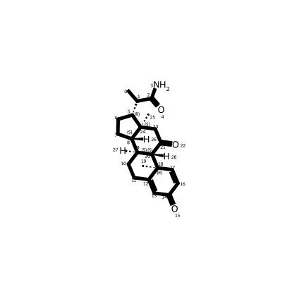 CC(C(N)=O)[C@H]1CC[C@H]2[C@@H]3CCC4=CC(=O)C=C[C@]4(C)[C@H]3C(=O)C[C@]12C